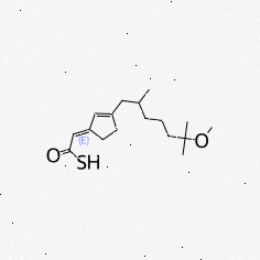 COC(C)(C)CCCC(C)CC1=C/C(=C/C(=O)S)CC1